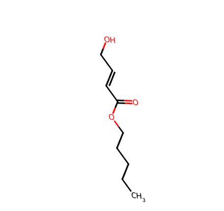 CCCCCOC(=O)C=CCO